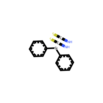 N=C=S.N=C=S.c1ccc([Si]c2ccccc2)cc1